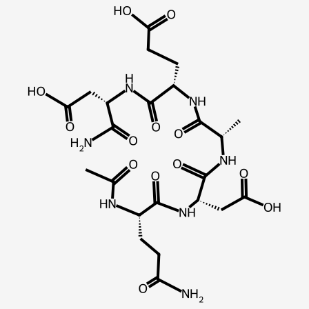 CC(=O)N[C@@H](CCC(N)=O)C(=O)N[C@@H](CC(=O)O)C(=O)N[C@@H](C)C(=O)N[C@@H](CCC(=O)O)C(=O)N[C@@H](CC(=O)O)C(N)=O